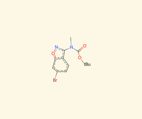 CN(C(=O)OC(C)(C)C)c1noc2cc(Br)ccc12